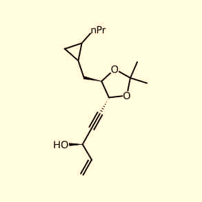 C=C[C@@H](O)C#C[C@H]1OC(C)(C)O[C@@H]1CC1CC1CCC